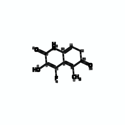 CC1=c2c(F)c(O)c(=O)[nH]c2=CCC1=O